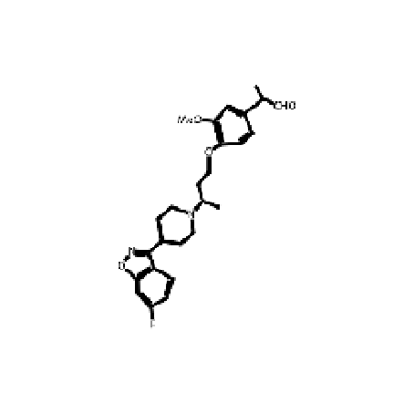 COc1cc(C(C)C=O)ccc1OCCC(C)N1CCC(c2noc3cc(F)ccc23)CC1